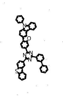 c1ccc(-c2cccc(-c3nc(-c4ccc5c(c4)oc4c5ccc5c4c4ccccc4n5-c4ccccc4)nc(-c4ccc5sc6ccccc6c5c4)n3)c2)cc1